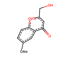 COc1ccc2oc(CO)cc(=O)c2c1